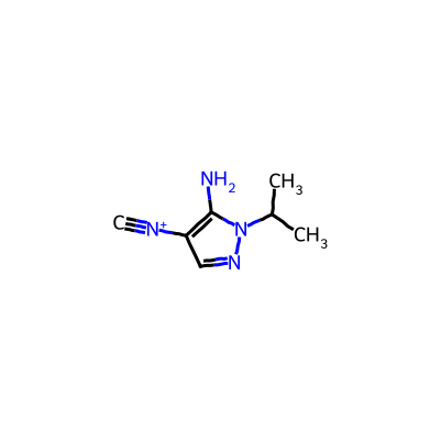 [C-]#[N+]c1cnn(C(C)C)c1N